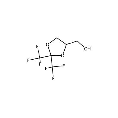 OCC1COC(C(F)(F)F)(C(F)(F)F)O1